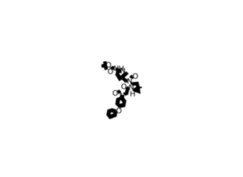 CC(C)(C)OC(=O)Nc1ccc(CN(C=O)[C@@H]2C[C@]3(C)C[C@@H]3N2C(=O)CN(C=O)c2ccc(Oc3ccccc3)cc2)cn1